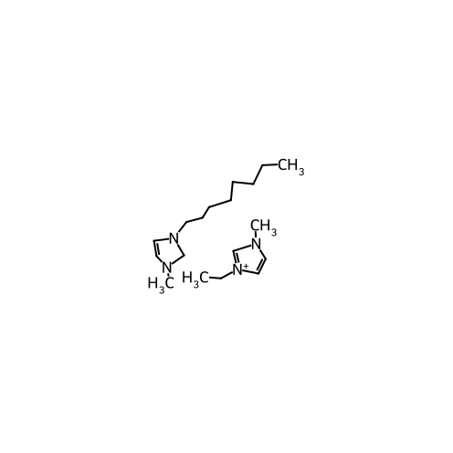 CCCCCCCCN1C=CN(C)C1.CC[n+]1ccn(C)c1